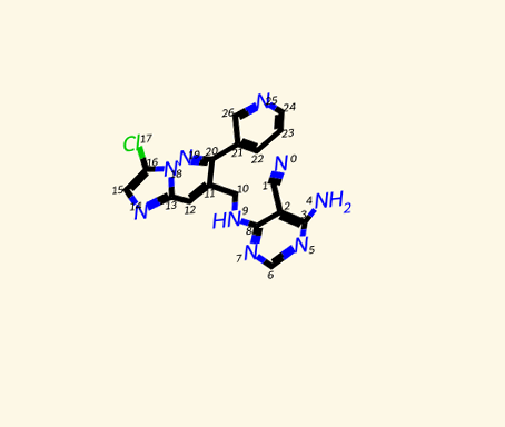 N#Cc1c(N)ncnc1NCc1cc2ncc(Cl)n2nc1-c1cccnc1